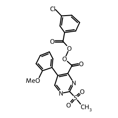 COc1ccccc1-c1cnc(S(C)(=O)=O)nc1C(=O)OOC(=O)c1cccc(Cl)c1